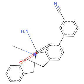 CN1C(=O)C2(N=C1N)c1cc(-c3cccc(C#N)c3)ccc1CC21Cc2ccccc2C1